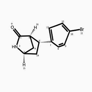 O=C1N[C@H]2C[C@@H]1[C@H](c1ccc(Br)cc1)C2